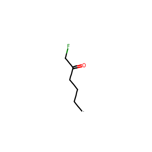 [CH2]CCCC(=O)CF